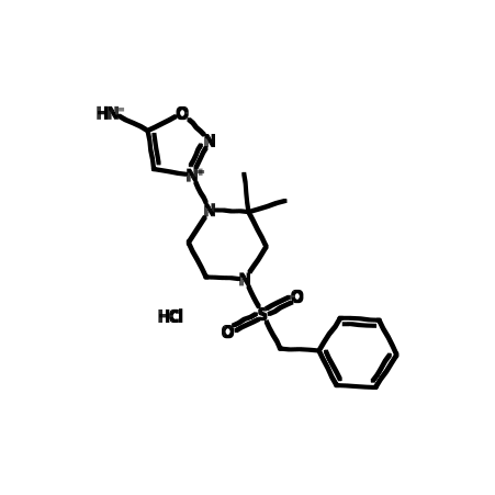 CC1(C)CN(S(=O)(=O)Cc2ccccc2)CCN1[n+]1cc([NH-])on1.Cl